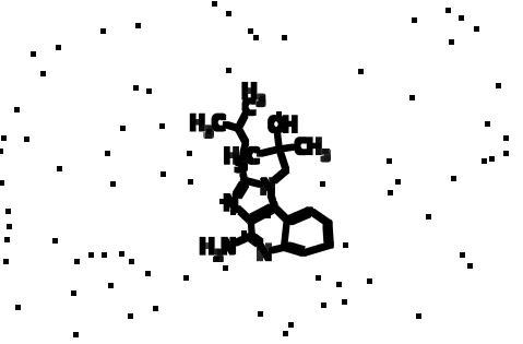 CC(C)CSc1nc2c(N)nc3ccccc3c2n1CC(C)(C)O